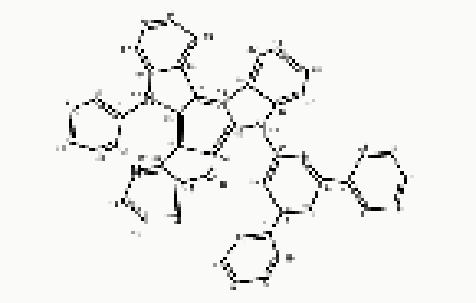 c1ccc(-c2cc(-c3ccccc3)cc(-n3c4ccccc4c4c5c6ccccc6n(-c6ccccc6)c5c5c6ncncc6sc5c43)c2)cc1